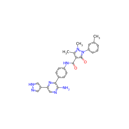 Cc1cccc(-n2c(=O)c(C(=O)Nc3ccc(-c4nc(-c5cn[nH]c5)cnc4N)cc3)c(C)n2C)c1